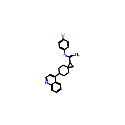 C=C(Nc1ccc(Cl)cc1)C1CC12CCC(c1ccnc3ccccc13)CC2